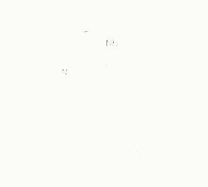 c1ccc(CC23CCC(CNC2)N3)cc1